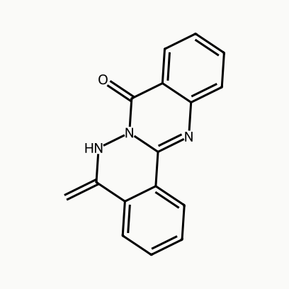 C=C1Nn2c(nc3ccccc3c2=O)-c2ccccc21